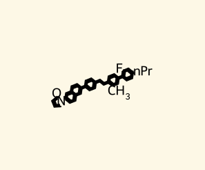 CCCc1ccc(-c2ccc(CCc3ccc(-c4ccc5cc(N6CC=CC6=O)ccc5c4)cc3)c(C)c2)c(F)c1